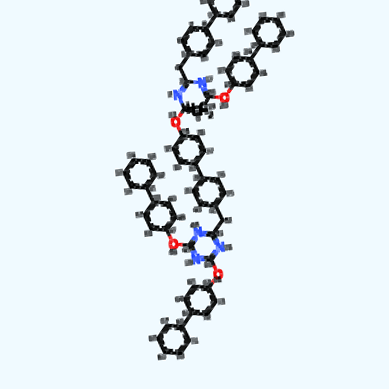 C=C(/N=C(Cc1ccc(-c2ccccc2)cc1)\N=C(/C)Oc1ccc(-c2ccccc2)cc1)Oc1ccc(-c2ccc(Cc3nc(Oc4ccc(-c5ccccc5)cc4)nc(Oc4ccc(-c5ccccc5)cc4)n3)cc2)cc1